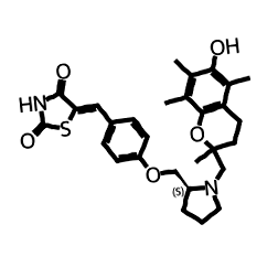 Cc1c(C)c2c(c(C)c1O)CCC(C)(CN1CCC[C@H]1COc1ccc(C=C3SC(=O)NC3=O)cc1)O2